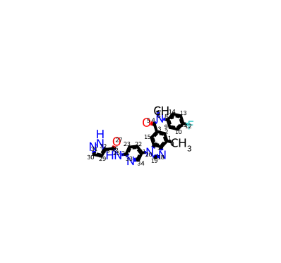 Cc1cc(C(=O)N(C)c2ccc(F)cc2)cc2c1ncn2-c1ccc(NC(=O)c2ccn[nH]2)nc1